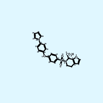 O=C(O)C1c2occc2CCN1S(=O)(=O)c1ccc(Oc2ccc(-n3cccc3)cc2)cc1